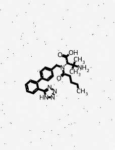 CCCCC(=O)N(Cc1ccc(-c2ccccc2-c2nnn[nH]2)cc1)[C@H](C(=O)O)C(C)(C)N